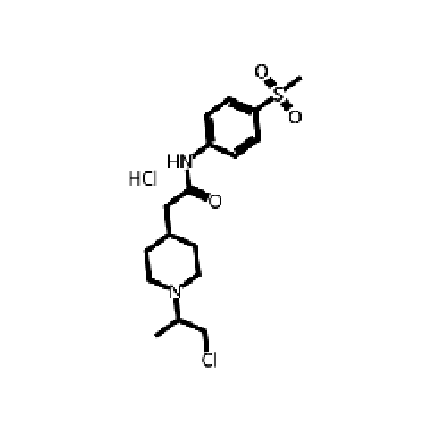 CC(CCl)N1CCC(CC(=O)Nc2ccc(S(C)(=O)=O)cc2)CC1.Cl